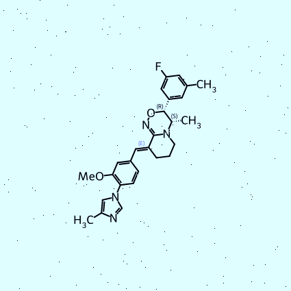 COc1cc(/C=C2\CCCN3C2=NO[C@H](c2cc(C)cc(F)c2)[C@@H]3C)ccc1-n1cnc(C)c1